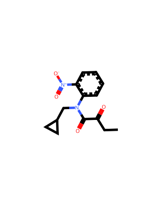 CCC(=O)C(=O)N(CC1CC1)c1ccccc1[N+](=O)[O-]